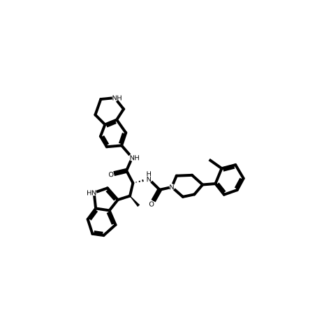 Cc1ccccc1C1CCN(C(=O)N[C@@H](C(=O)Nc2ccc3c(c2)CNCC3)[C@@H](C)c2c[nH]c3ccccc23)CC1